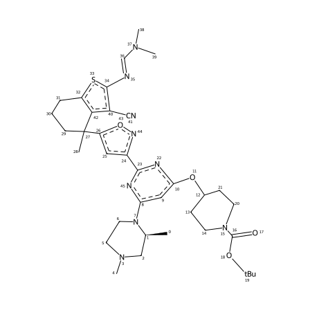 C[C@H]1CN(C)CCN1c1cc(OC2CCN(C(=O)OC(C)(C)C)CC2)nc(-c2cc(C3(C)CCCc4sc(/N=C/N(C)C)c(C#N)c43)on2)n1